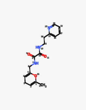 CC1=CCC=C(CNC(=O)C(=O)NCCc2ccccn2)O1